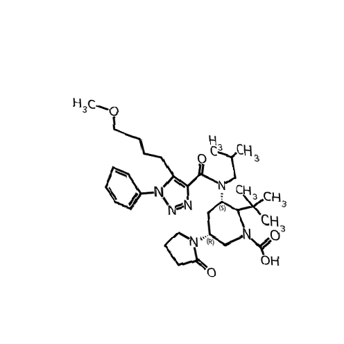 COCCCCc1c(C(=O)N(CC(C)C)[C@H]2C[C@@H](N3CCCC3=O)CN(C(=O)O)C2C(C)(C)C)nnn1-c1ccccc1